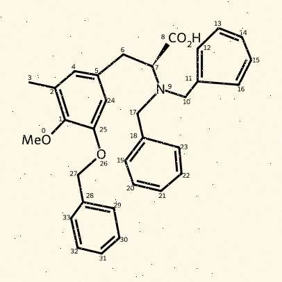 COc1c(C)cc(C[C@@H](C(=O)O)N(Cc2ccccc2)Cc2ccccc2)cc1OCc1ccccc1